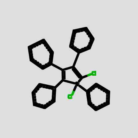 ClC1=C(c2ccccc2)C(c2ccccc2)=C(c2ccccc2)[Si]1(Cl)c1ccccc1